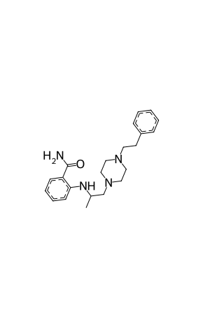 CC(CN1CCN(CCc2ccccc2)CC1)Nc1ccccc1C(N)=O